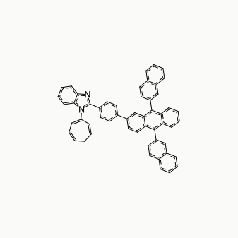 C1=CCC=CC(n2c(-c3ccc(-c4ccc5c(-c6ccc7ccccc7c6)c6ccccc6c(-c6ccc7ccccc7c6)c5c4)cc3)nc3ccccc32)=C1